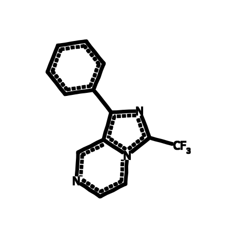 FC(F)(F)c1nc(-c2ccccc2)c2cnccn12